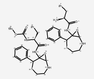 CC(C)C[C@H](N)C(=O)NC12OC1NCCSC2c1ccccc1.CC(C)C[C@H](NC(=O)OC(C)(C)C)C(=O)NC12OC1NCCSC2c1ccccc1